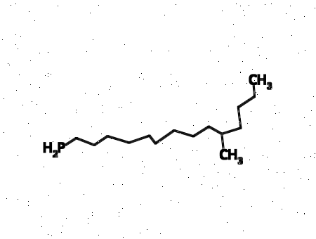 CCCCC(C)CCCCCCCCCP